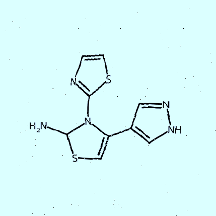 NC1SC=C(c2cn[nH]c2)N1c1nccs1